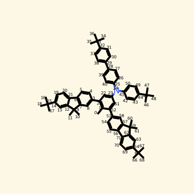 Cc1c(-c2ccc3c(c2)C(C)(C)c2cc(C(C)(C)C)ccc2-3)cc(N(c2ccc(-c3ccc(C(C)(C)C)cc3)cc2)c2ccc(C(C)(C)C)cc2)cc1-c1ccc2c(c1)C(C)(C)c1cc(C(C)(C)C)ccc1-2